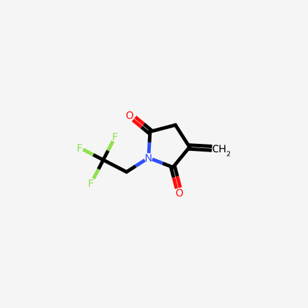 C=C1CC(=O)N(CC(F)(F)F)C1=O